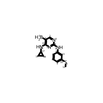 Bc1cnc(Nc2cccc(SC)c2)nc1NC1CC1